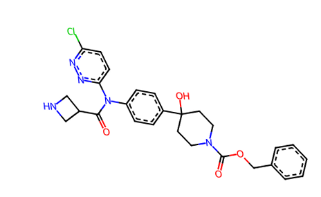 O=C(OCc1ccccc1)N1CCC(O)(c2ccc(N(C(=O)C3CNC3)c3ccc(Cl)nn3)cc2)CC1